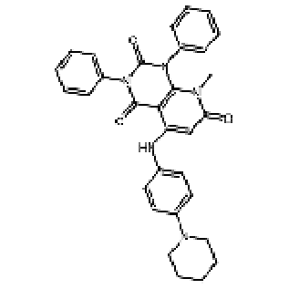 Cn1c(=O)cc(Nc2ccc(N3CCCCC3)cc2)c2c(=O)n(-c3ccccc3)c(=O)n(-c3ccccc3)c21